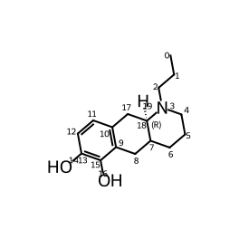 CCCN1CCCC2Cc3c(ccc(O)c3O)C[C@H]21